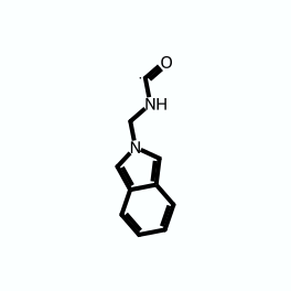 O=[C]NCn1cc2ccccc2c1